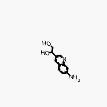 Nc1ccc2cc(C(O)CO)cnc2c1